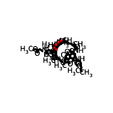 CCOC(=O)CCNC(=O)CC(=O)O[C@H]1[C@H](C)[C@H](O)[C@H](C)[C@@H](O)[C@@H](C)/C=C/C=C(/C)C(=O)NC2=C3NC4(CCN(CC(C)C)CC4)N=C3c3c(c(O)c(C)c4c3C(=O)[C@@](C)(O/C=C/[C@H](OC)[C@H]1C)O4)C2=O